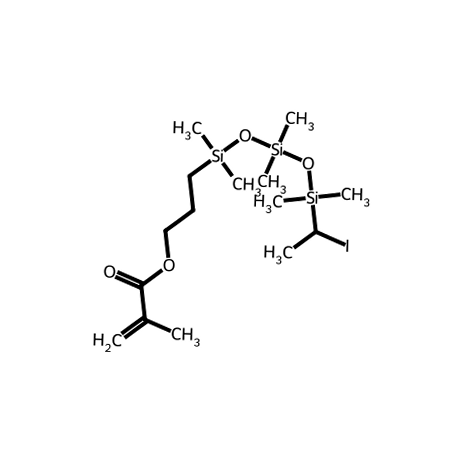 C=C(C)C(=O)OCCC[Si](C)(C)O[Si](C)(C)O[Si](C)(C)C(C)I